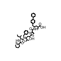 CCC(C)C(NC(=O)C1CCCCN1C)C(=O)N(Cc1ccccc1)C(CC(O)c1nc(C(=O)NC(Cc2ccc(-c3ccccc3)cc2)CC(C)C(=O)O)cs1)C(C)C